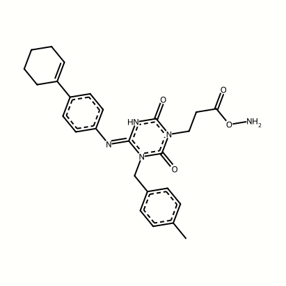 Cc1ccc(Cn2c(=O)n(CCC(=O)ON)c(=O)[nH]/c2=N\c2ccc(C3=CCCCC3)cc2)cc1